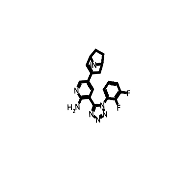 Nc1ncc(C2=CC3CCC(C2)N3)cc1-c1nnnn1-c1cccc(F)c1F